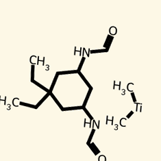 CCC1(CC)CC(NC=O)CC(NC=O)C1.[CH3][Ti][CH3]